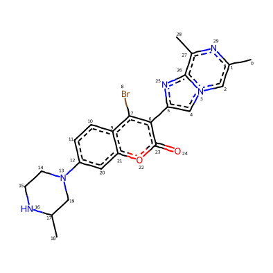 Cc1cn2cc(-c3c(Br)c4ccc(N5CCNC(C)C5)cc4oc3=O)nc2c(C)n1